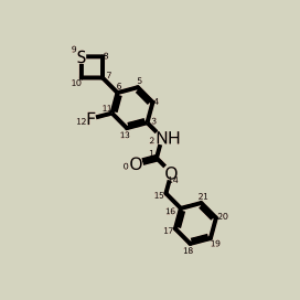 O=C(Nc1ccc(C2CSC2)c(F)c1)OCc1ccccc1